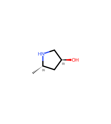 C[C@H]1C[C@H](O)CN1